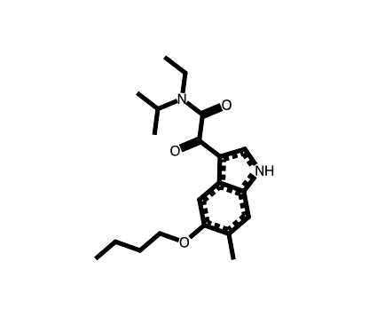 CCCCOc1cc2c(C(=O)C(=O)N(CC)C(C)C)c[nH]c2cc1C